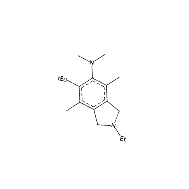 CCN1Cc2c(C)c(N(C)C)c(C(C)(C)C)c(C)c2C1